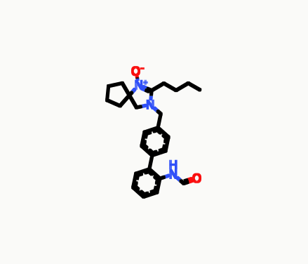 CCCCC1=[N+]([O-])C2(CCCC2)CN1Cc1ccc(-c2ccccc2NC=O)cc1